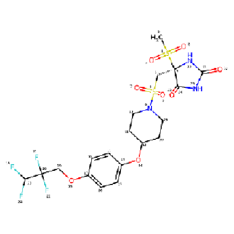 CS(=O)(=O)[C@@]1(CS(=O)(=O)N2CCC(Oc3ccc(OCC(F)(F)C(F)F)cc3)CC2)NC(=O)NC1=O